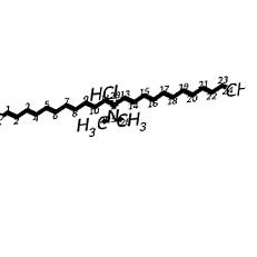 CCCCCCCCCCCCC(CCCCCCCCCCCC)N(C)C.Cl